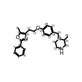 Cc1oc(-c2ccccc2)nc1CCOc1ccc(CN2CCNCC2C)cc1